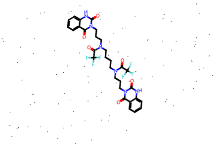 O=C(N(CCCCN(CCCn1c(=O)[nH]c2ccccc2c1=O)C(=O)C(F)(F)F)CCCn1c(=O)[nH]c2ccccc2c1=O)C(F)(F)F